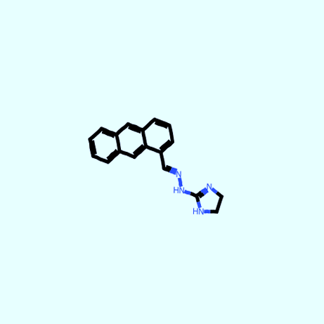 C(=N\NC1=NCCN1)/c1cccc2cc3ccccc3cc12